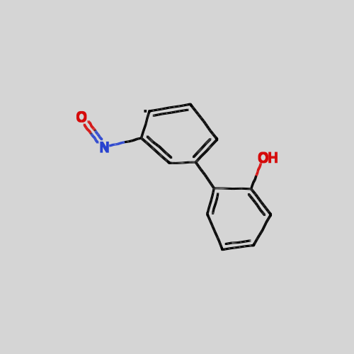 O=Nc1[c]ccc(-c2ccccc2O)c1